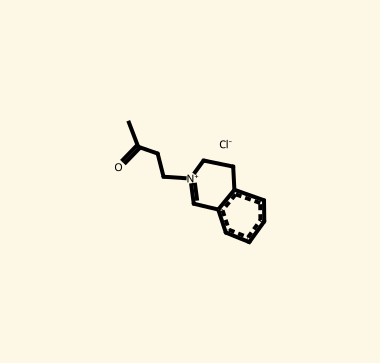 CC(=O)CC[N+]1=Cc2ccccc2CC1.[Cl-]